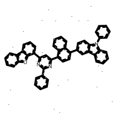 c1ccc(-c2nc(-c3ccc(-c4ccc5c(c4)c4ccccc4n5-c4ccccc4)c4ccccc34)cc(-c3cccc4c3oc3ccccc34)n2)cc1